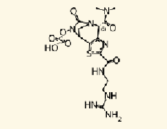 CN(C)C(=O)[C@@H]1c2nc(C(=O)NCCNC(=N)N)sc2C2CN1C(=O)N2OS(=O)(=O)O